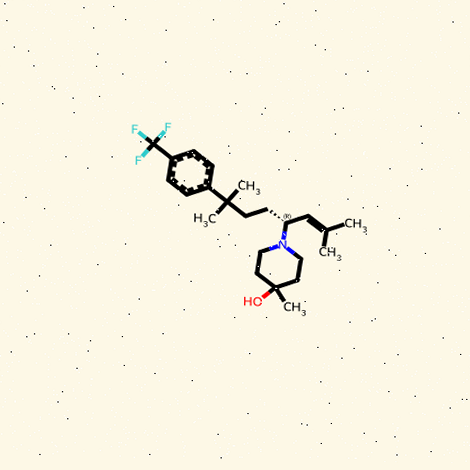 CC(C)=C[C@@H](CCC(C)(C)c1ccc(C(F)(F)F)cc1)N1CCC(C)(O)CC1